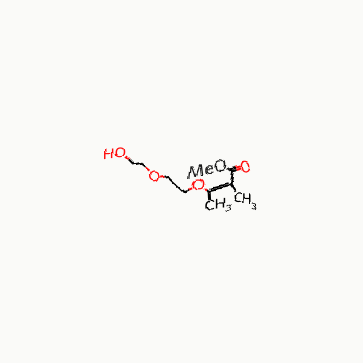 COC(=O)C(C)=C(C)OCCOCCO